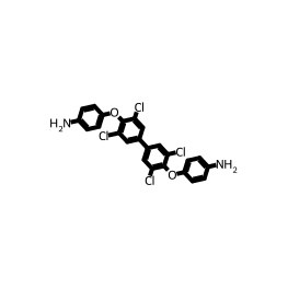 Nc1ccc(Oc2c(Cl)cc(-c3cc(Cl)c(Oc4ccc(N)cc4)c(Cl)c3)cc2Cl)cc1